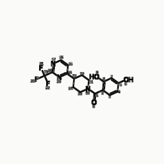 O=C(c1ccc(O)cc1O)N1CCC(c2ccnc(C(F)(F)F)n2)CC1